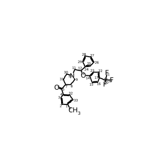 Cc1ccc(C(=O)C2CCN(CC(Oc3ccc(C(F)(F)F)cc3)c3ccccc3)CC2)cc1